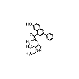 CCn1ncc(CN(C)C(=O)c2cc(-c3ccccc3)nc3ccc(O)cc23)c1C